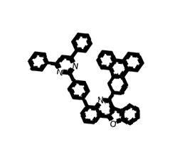 C1=CC(c2nc3c(-c4ccc(-c5nc(-c6ccccc6)cc(-c6ccccc6)n5)cc4)cccc3c3oc4ccccc4c23)Cc2c1c1ccccc1c1ccccc21